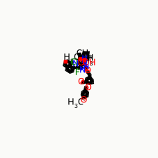 COc1ccc(COc2ccc(CCOc3nc(N4C[C@@H]5CC[C@@](C(C)(C)C)(C4)N5C(=O)O)c4cnc(-c5cccc6cccc(Cl)c56)c(F)c4n3)cc2C=O)cc1